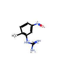 Cc1ccc(N=O)cc1NC(=N)N